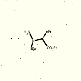 CCCCN(N)[C@@H](CCC)C(=O)OCC